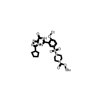 CCOc1ccc(S(=O)(=O)N2CCN(C(=O)OC(C)(C)C)CC2)cc1-c1nn2c(C3CCCC3)nnc2c(=O)[nH]1